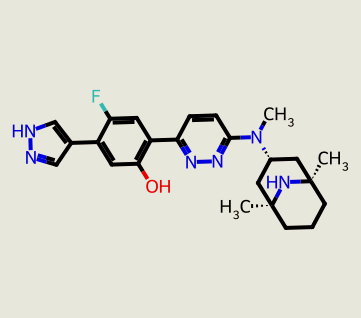 CN(c1ccc(-c2cc(F)c(-c3cn[nH]c3)cc2O)nn1)[C@H]1C[C@]2(C)CCC[C@](C)(C1)N2